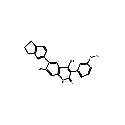 COc1cccc(-c2c(O)c3cc(-c4ccc5c(c4)CCC5)c(Cl)cc3[nH]c2=O)c1